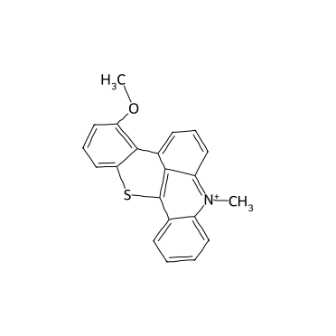 COc1cccc2c1-c1cccc3c1c(c1ccccc1[n+]3C)S2